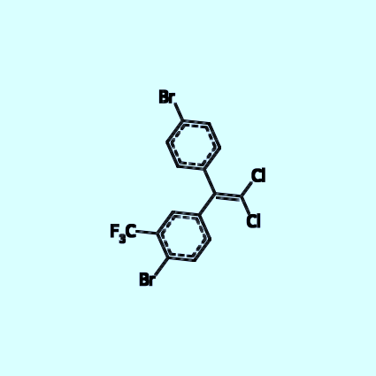 FC(F)(F)c1cc(C(=C(Cl)Cl)c2ccc(Br)cc2)ccc1Br